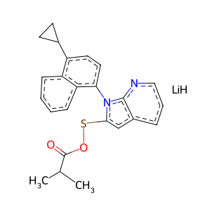 CC(C)C(=O)OSc1cc2cccnc2n1-c1ccc(C2CC2)c2ccccc12.[LiH]